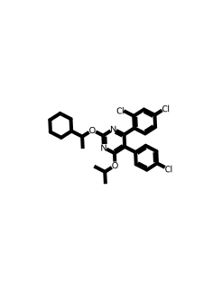 CC(C)Oc1nc(OC(C)C2CCCCC2)nc(-c2ccc(Cl)cc2Cl)c1-c1ccc(Cl)cc1